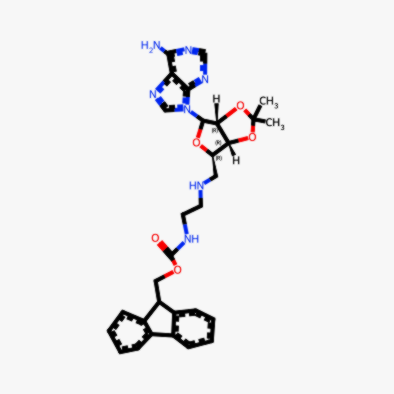 CC1(C)O[C@@H]2[C@@H](CNCCNC(=O)OCC3c4ccccc4-c4ccccc43)OC(n3cnc4c(N)ncnc43)[C@@H]2O1